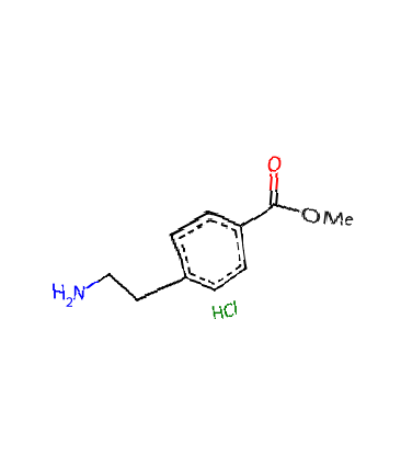 COC(=O)c1ccc(CCN)cc1.Cl